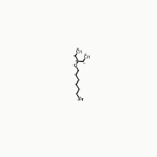 CC(C)CCCCCCOC(CO)CO